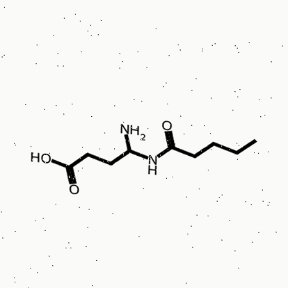 CCCCC(=O)NC(N)CCC(=O)O